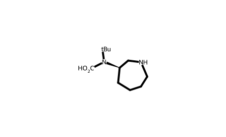 CC(C)(C)N(C(=O)O)[C@@H]1CCCCNC1